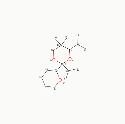 CC(C)C1OC(C(C)C)(C2CCCCO2)OCC1(C)C